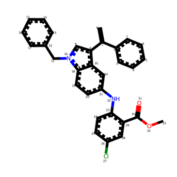 C=C(c1ccccc1)c1cn(Cc2ccccc2)c2ccc(Nc3ccc(Cl)cc3C(=O)OC)cc12